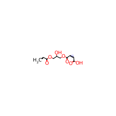 C=CC(=O)OCC(O)COC(=O)/C=C\C(=O)O